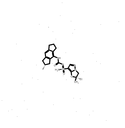 CC[C@@]1(C)Cn2ncc([S@](N)(=O)=NC(=O)Nc3c4c(cc5c3C[C@H](F)C5)CCC4)c2O1